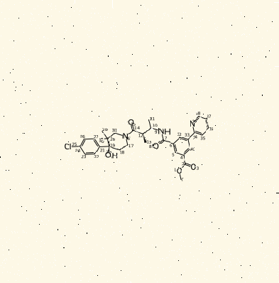 COC(=O)c1cc(C(=O)NC(C)[C@@H](C)C(=O)N2CC[C@](O)(c3ccc(Cl)cc3)C(C)(C)C2)cc(-c2ccccn2)c1